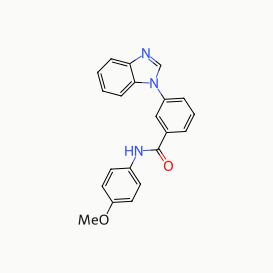 COc1ccc(NC(=O)c2cccc(-n3cnc4ccccc43)c2)cc1